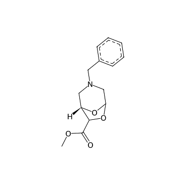 COC(=O)C1OC2CN(Cc3ccccc3)C[C@@H]1O2